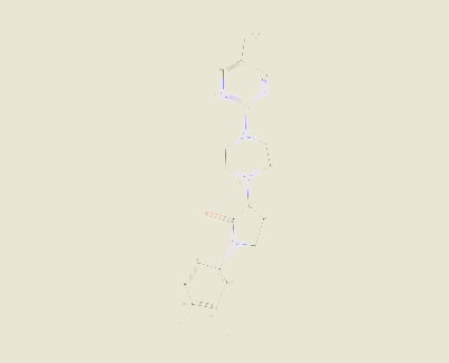 COc1cnc(N2CCN(C3CCN(c4ccc(Cl)c(F)c4)C3=O)CC2)nc1